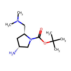 CN(C)C[C@H]1C[C@@H](N)CN1C(=O)OC(C)(C)C